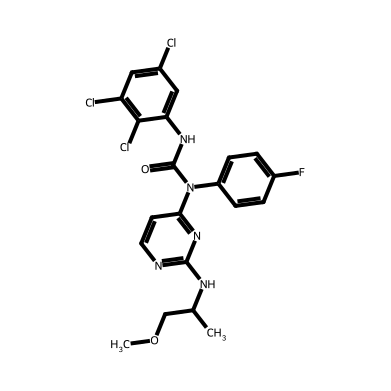 COCC(C)Nc1nccc(N(C(=O)Nc2cc(Cl)cc(Cl)c2Cl)c2ccc(F)cc2)n1